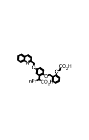 CCCC(C(=O)O)c1cc(OCc2ccc3ccccc3n2)ccc1OCc1ccccc1OCC(=O)O